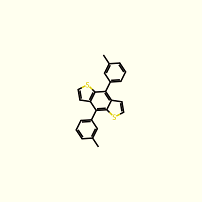 Cc1cccc(-c2c3ccsc3c(-c3cccc(C)c3)c3ccsc23)c1